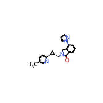 Cc1ccc([C@H]2C[C@@H]2CN2Cc3c(cccc3-n3cccn3)C2=O)nc1